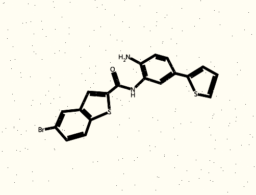 Nc1ccc(-c2cccs2)cc1NC(=O)c1cc2cc(Br)ccc2s1